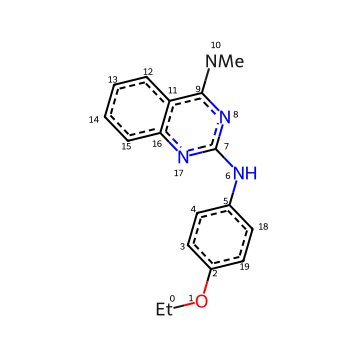 CCOc1ccc(Nc2nc(NC)c3ccccc3n2)cc1